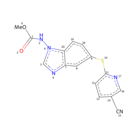 COC(=O)Nn1cnc2cc(Sc3ccc(C#N)cn3)ccc21